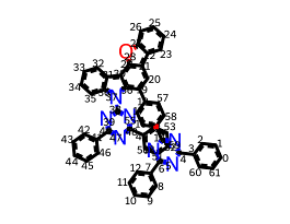 c1ccc(-c2nc(-c3ccccc3)nc(-c3ccc(-c4cc5c6ccccc6oc5c5c6ccccc6n(-c6nc(-c7ccccc7)nc(-c7ccccc7)n6)c45)cc3)n2)cc1